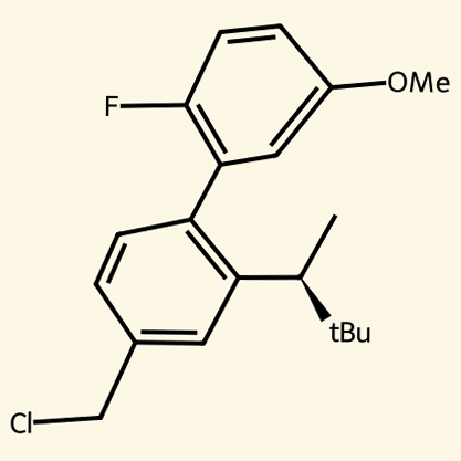 COc1ccc(F)c(-c2ccc(CCl)cc2[C@@H](C)C(C)(C)C)c1